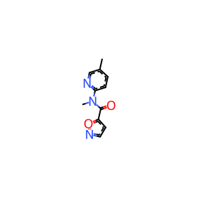 Cc1ccc(N(C)C(=O)c2ccno2)nc1